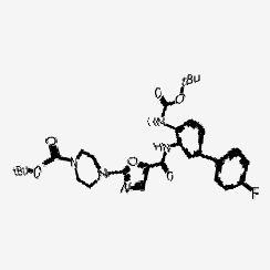 CC(C)(C)OC(=O)Nc1ccc(-c2ccc(F)cc2)cc1NC(=O)c1cnc(N2CCN(C(=O)OC(C)(C)C)CC2)o1